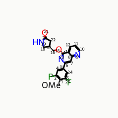 COc1c(F)cc(-c2cc3ncccc3c(OC[C@H]3CNC(=O)C3)n2)cc1F